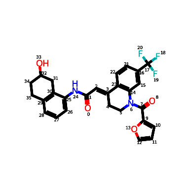 O=C(C=C1CCN(C(=O)c2ccco2)c2cc(C(F)(F)F)ccc21)Nc1cccc2c1CC(O)CC2